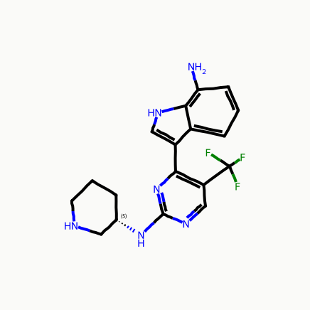 Nc1cccc2c(-c3nc(N[C@H]4CCCNC4)ncc3C(F)(F)F)c[nH]c12